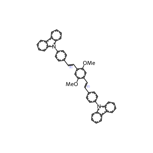 COc1cc(/C=C/c2ccc(-n3c4ccccc4c4ccccc43)cc2)c(OC)cc1/C=C/c1ccc(-n2c3ccccc3c3ccccc32)cc1